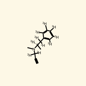 [2H]c1c([2H])c([2H])c(C([2H])([2H])[C@@]([2H])(C)N(C)C([2H])([2H])C#C)c([2H])c1[2H]